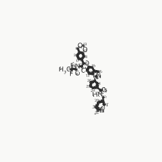 CC(NC(=O)C(C)(F)F)C(Oc1ccc2c(cnn2-c2cccc(C(=O)NCc3cccnc3)c2)c1)c1ccc2c(c1)OCOC2